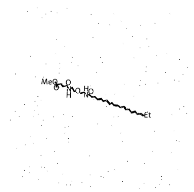 CCC=CCC=CCC=CCC=CCC=CCC=CCCC(=O)NCCOCCNC(=O)C=CC(=O)OC